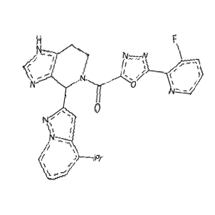 CC(C)c1cccn2nc(C3c4nc[nH]c4CCN3C(=O)c3nnc(-c4ncccc4F)o3)cc12